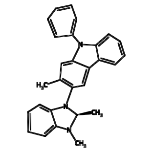 Cc1cc2c(cc1N1c3ccccc3N(C)[C@@H]1C)c1ccccc1n2-c1ccccc1